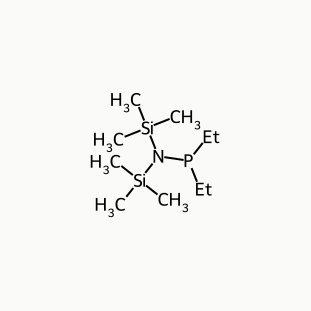 CCP(CC)N([Si](C)(C)C)[Si](C)(C)C